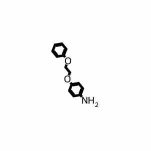 Nc1ccc(OCCOc2ccccc2)cc1